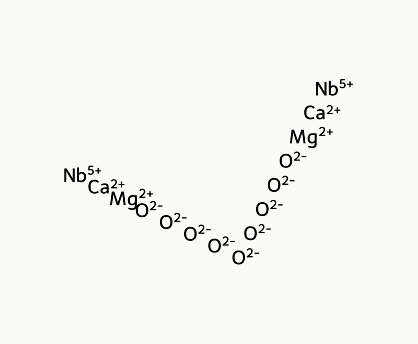 [Ca+2].[Ca+2].[Mg+2].[Mg+2].[Nb+5].[Nb+5].[O-2].[O-2].[O-2].[O-2].[O-2].[O-2].[O-2].[O-2].[O-2]